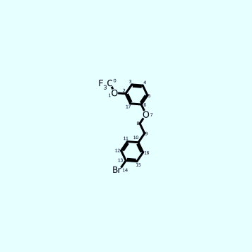 FC(F)(F)Oc1cccc(OCCc2ccc(Br)cc2)c1